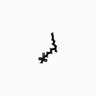 CCCCCCC(C)CCCCNS(C)(=O)=O